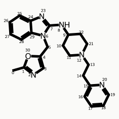 Cc1ncc(Cn2c(NC3CCN(CCc4ccccn4)CC3)nc3ccccc32)o1